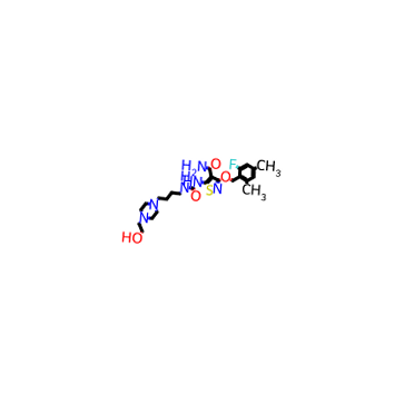 Cc1cc(C)c(COc2nsc(NC(=O)NCCCCN3CCN(CCO)CC3)c2C(N)=O)c(F)c1